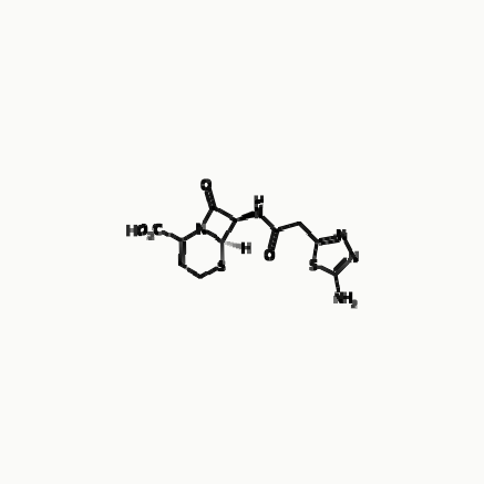 Nc1nnc(CC(=O)N[C@@H]2C(=O)N3C(C(=O)O)=CCS[C@H]23)s1